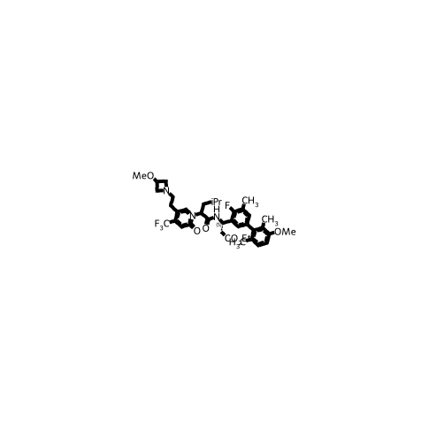 CCOC(=O)C[C@H](NC(=O)C(CC(C)C)n1cc(CCN2CC(OC)C2)c(C(F)(F)F)cc1=O)c1cc(-c2c(C)ccc(OC)c2C)cc(C)c1F